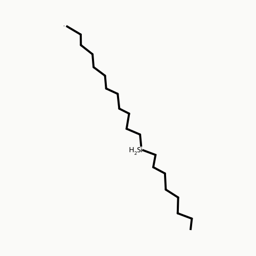 [CH2]CCCCCCCCCCC[SiH2]CCCCCCCC